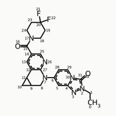 CCn1nc2cc(N3CC4CC4c4cc(C(=O)N5CCC(F)(F)CC5)cnc43)ccn2c1=O